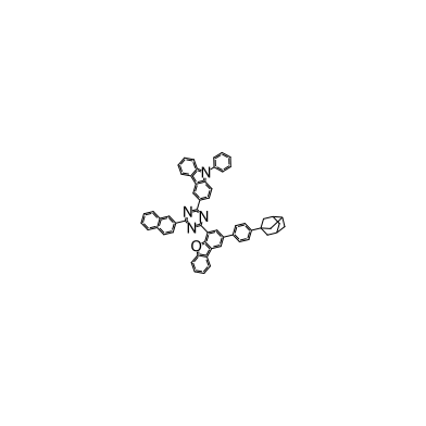 c1ccc(-n2c3ccccc3c3cc(-c4nc(-c5ccc6ccccc6c5)nc(-c5cc(-c6ccc(C78CC9CC(C7)C(C9)C8)cc6)cc6c5oc5ccccc56)n4)ccc32)cc1